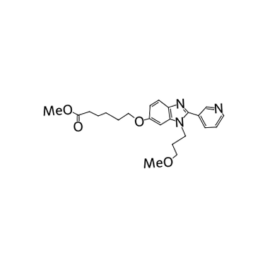 COCCCn1c(-c2cccnc2)nc2ccc(OCCCCCC(=O)OC)cc21